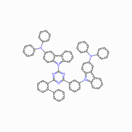 c1ccc(-c2ccccc2-c2nc(-c3cccc(-n4c5ccccc5c5cc(N(c6ccccc6)c6ccccc6)ccc54)c3)nc(-n3c4ccccc4c4cc(N(c5ccccc5)c5ccccc5)ccc43)n2)cc1